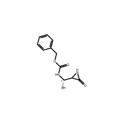 CCC[C@H](NC(=O)OCc1ccccc1)C1NC1=O